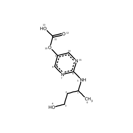 CC(CCO)Nc1ncc(OC(=O)O)cn1